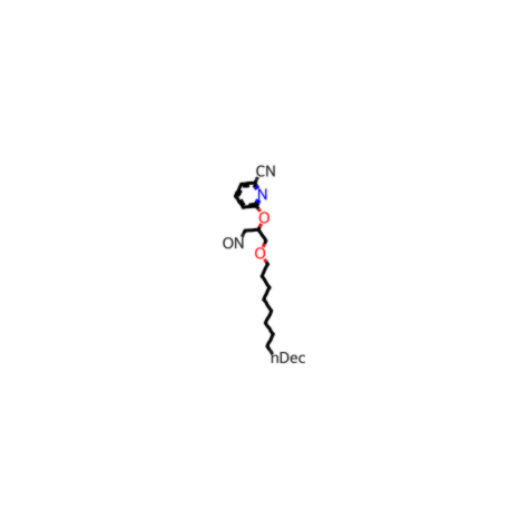 CCCCCCCCCCCCCCCCCCOCC(CN=O)Oc1cccc(C#N)n1